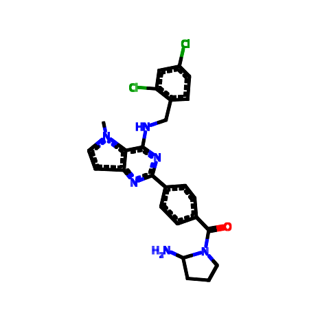 Cn1ccc2nc(-c3ccc(C(=O)N4CCCC4N)cc3)nc(NCc3ccc(Cl)cc3Cl)c21